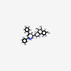 C=C(/C=C\C1=C(C)C(C)C(C)c2cc(C)ccc21)C1CN=C(c2ccccc2)C=C(c2ccccc2)C1